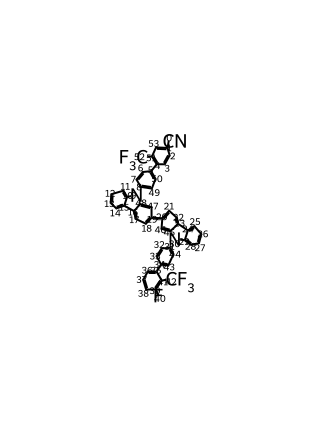 N#Cc1ccc(-c2ccc(-n3c4ccccc4c4ccc(-c5ccc6c7ccccc7n(-c7ccc(-c8cccc(F)c8C(F)(F)F)cc7)c6c5)cc43)cc2)c(C(F)(F)F)c1